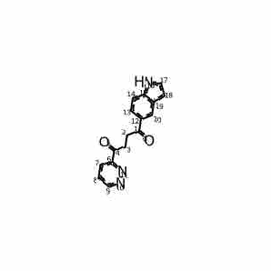 O=C(CCC(=O)c1cccnn1)c1ccc2[nH]ccc2c1